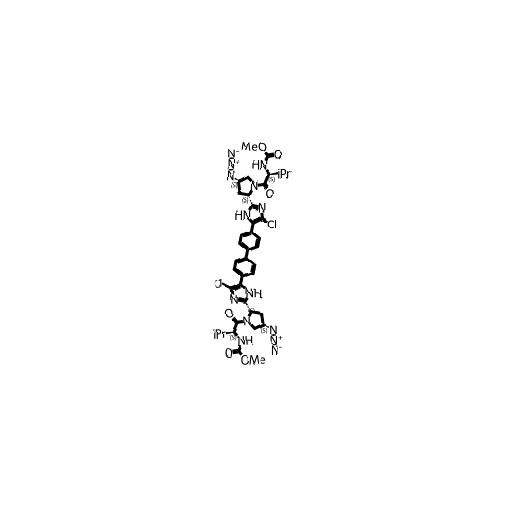 COC(=O)N[C@H](C(=O)N1C[C@@H](N=[N+]=[N-])C[C@H]1c1nc(Cl)c(-c2ccc(-c3ccc(-c4[nH]c([C@@H]5C[C@H](N=[N+]=[N-])CN5C(=O)[C@@H](NC(=O)OC)C(C)C)nc4Cl)cc3)cc2)[nH]1)C(C)C